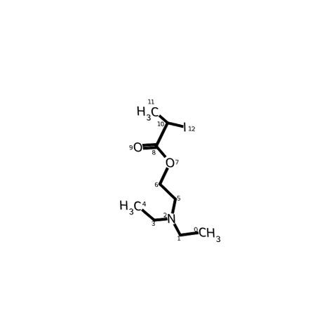 CCN(CC)CCOC(=O)C(C)I